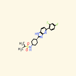 CC(C)S(=O)(=O)N[C@H]1CC[C@@H](c2nc3nc(-c4ccc(F)cc4F)ccc3[nH]2)CC1